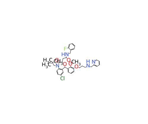 COc1c(OCCCNCc2ccccn2)cccc1C1OC(CC(=O)NCc2ccccc2F)C(=O)N(CC(C)(C)C)c2ccc(Cl)cc21